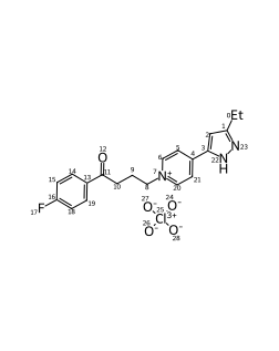 CCc1cc(-c2cc[n+](CCCC(=O)c3ccc(F)cc3)cc2)[nH]n1.[O-][Cl+3]([O-])([O-])[O-]